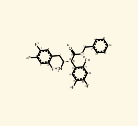 NC(Cc1cc(F)c(F)cc1F)[C@H](C(=O)OCc1ccccc1)c1cc(F)c(F)cc1F